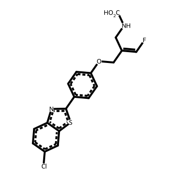 O=C(O)NC/C(=C\F)COc1ccc(-c2nc3ccc(Cl)cc3s2)cc1